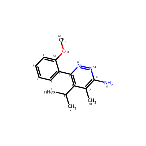 CCCCCCC(C)c1c(-c2ccccc2OC(F)(F)F)nnc(N)c1C